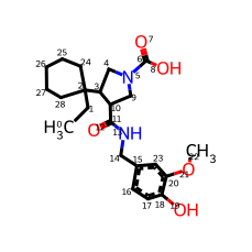 CCC1(C2CN(C(=O)O)CC2C(=O)NCc2ccc(O)c(OC)c2)CCCCC1